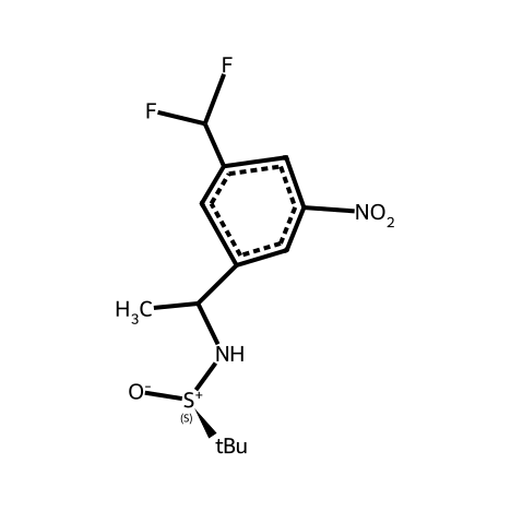 CC(N[S@+]([O-])C(C)(C)C)c1cc(C(F)F)cc([N+](=O)[O-])c1